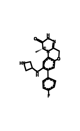 C[C@@H]1C(=O)NN=C2COc3cc(-c4ccc(F)cc4)c(NC4CNC4)cc3N21